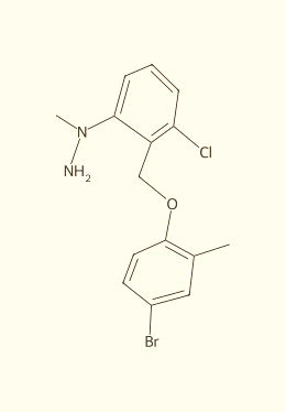 Cc1cc(Br)ccc1OCc1c(Cl)cccc1N(C)N